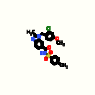 COc1ccc(Cn2c(C)nc3ccc(C(=O)NS(=O)(=O)c4ccc(C)cc4)cc32)c(Cl)c1